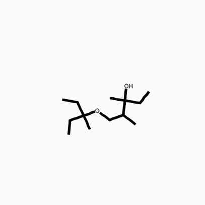 CCC(C)(CC)OCC(C)C(C)(O)CC